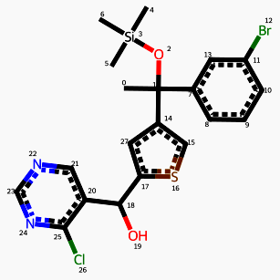 CC(O[Si](C)(C)C)(c1cccc(Br)c1)c1csc(C(O)c2cncnc2Cl)c1